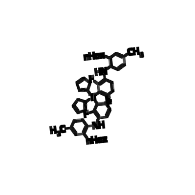 CCCCCCc1cc(C)ccc1Nc1ccc(F)[c]([Ti]([C]2=CC=CC2)([C]2=CC=CC2)[c]2c(F)ccc(Nc3ccc(C)cc3CCCCCC)c2F)c1F